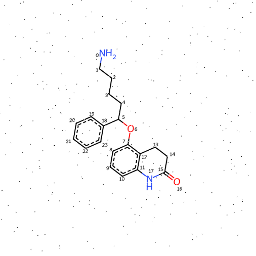 NCCCCC(Oc1cccc2c1CCC(=O)N2)c1ccccc1